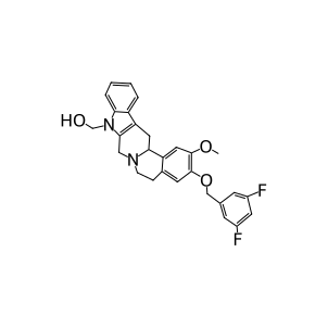 COc1cc2c(cc1OCc1cc(F)cc(F)c1)CCN1Cc3c(c4ccccc4n3CO)CC21